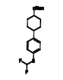 CCCCCCCCCC1CCC(c2ccc(SC(F)F)cc2)CC1